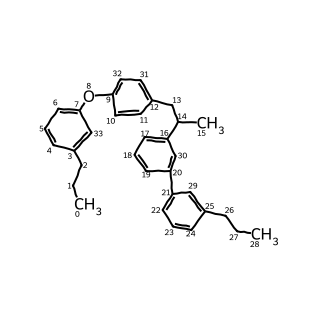 CCCc1cccc(Oc2ccc(CC(C)c3cccc(-c4cccc(CCC)c4)c3)cc2)c1